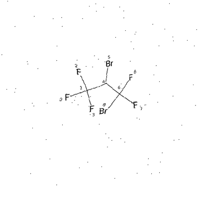 FC(F)(F)C(Br)C(F)(F)Br